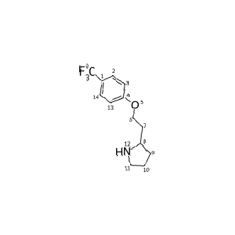 FC(F)(F)c1ccc(OCCC2CCCN2)cc1